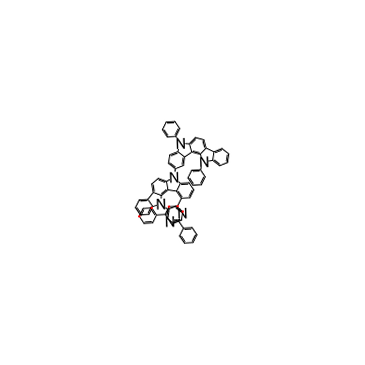 c1ccc(-c2cc(-c3cccc4c3c3c(ccc5c6ccccc6n(-c6ccccc6)c53)n4-c3ccc4c(c3)c3c(ccc5c6ccccc6n(-c6ccccc6)c53)n4-c3ccccc3)nc(-c3ccccc3)n2)cc1